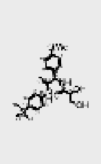 COc1ccc(C(NC(=O)C(O)CO)C(=O)Nc2ccc([Si](C)(C)C)cc2)cc1